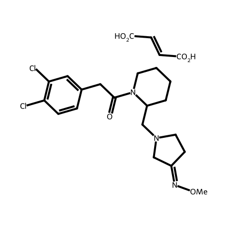 CON=C1CCN(CC2CCCCN2C(=O)Cc2ccc(Cl)c(Cl)c2)C1.O=C(O)C=CC(=O)O